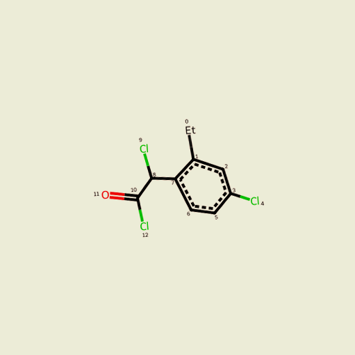 CCc1cc(Cl)ccc1C(Cl)C(=O)Cl